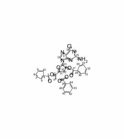 C[C@@H](OC(=O)c1ccccc1)[C@H]1O[C@@H](n2cnc3c(Cl)nc(N)nc32)[C@H](OC(=O)c2ccccc2)[C@@H]1OC(=O)c1ccccc1